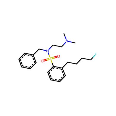 CN(C)CCN(Cc1ccccc1)S(=O)(=O)c1ccccc1CCCCF